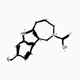 O=C(O)N1CCCc2[nH]c3cc(Br)ccc3c2C1